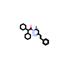 C[C@@H](CC(=N)C=Cc1ccccc1)NC(=O)C(C1CCCCC1)C1CCCCC1